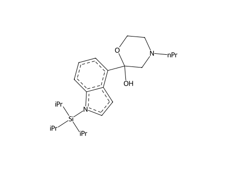 CCCN1CCOC(O)(c2cccc3c2ccn3[Si](C(C)C)(C(C)C)C(C)C)C1